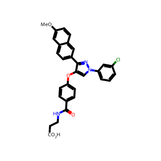 COc1ccc2cc(-c3nn(-c4cccc(Cl)c4)cc3Oc3ccc(C(=O)NCCC(=O)O)cc3)ccc2c1